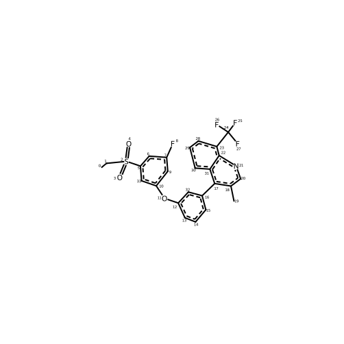 CCS(=O)(=O)c1cc(F)cc(Oc2cccc(-c3c(C)cnc4c(C(F)(F)F)cccc34)c2)c1